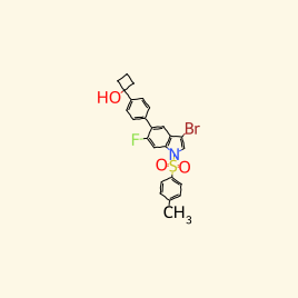 Cc1ccc(S(=O)(=O)n2cc(Br)c3cc(-c4ccc(C5(O)CCC5)cc4)c(F)cc32)cc1